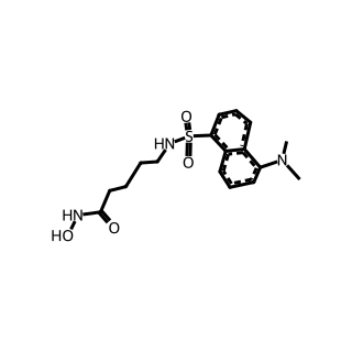 CN(C)c1cccc2c(S(=O)(=O)NCCCCC(=O)NO)cccc12